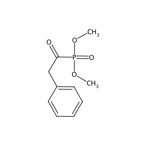 COP(=O)(OC)C(=O)Cc1ccccc1